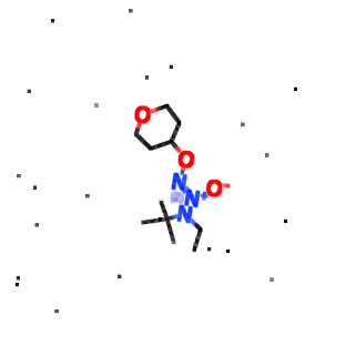 CCN(/[N+]([O-])=N/OC1CCOCC1)C(C)(C)C